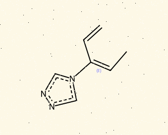 C=C/C(=C\C)n1cnnc1